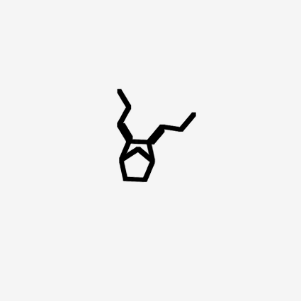 CCC=C1C(=CCC)C2CCC1C2